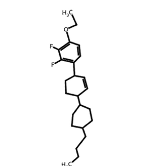 CCCCC1CCC(C2C=CC(c3ccc(OCC)c(F)c3F)CC2)CC1